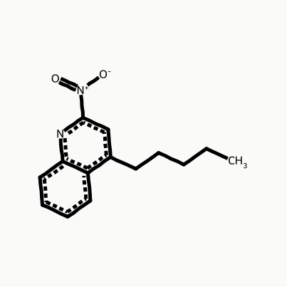 CCCCCc1cc([N+](=O)[O-])nc2ccccc12